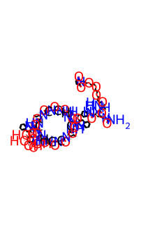 CC[C@H](C)[C@H]1C(=O)NC[C@@H](NC(=O)c2nc3ccccc3cc2O[C@@H]2O[C@H](C(=O)O)[C@@H](O)[C@H](O)[C@H]2O)C(=O)N2CCCC[C@H]2C(=O)NCC(=O)N(C)CC(=O)N(C)[C@@H]([C@@H](C)CC)C(=O)NC[C@@H](NC(=O)c2nc3ccccc3cc2OCc2ccc(NC(=O)[C@H](CCCNC(N)=O)NC(=O)[C@@H](NC(=O)CCOCCOCCOCCN3C(=O)C=CC3=O)C(C)C)cc2)C(=O)N2CCCC[C@H]2C(=O)NCC(=O)N(C)CC(=O)N1C